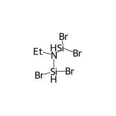 CCN([SiH](Br)Br)[SiH](Br)Br